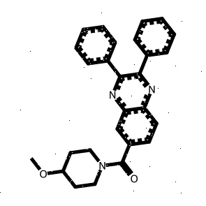 COC1CCN(C(=O)c2ccc3nc(-c4ccccc4)c(-c4ccccc4)nc3c2)CC1